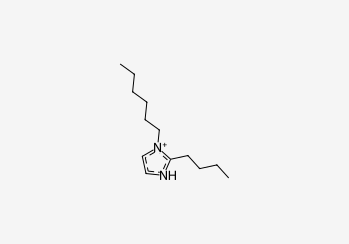 CCCCCC[n+]1cc[nH]c1CCCC